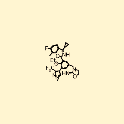 CCOc1c(C(=O)N[C@H](c2ccc(F)c(C)c2)C2CC2)cc(CN2CCOC2=N)cc1-c1cn(C)nc1C(F)(F)F